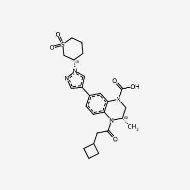 C[C@H]1CN(C(=O)O)c2cc(-c3cnn([C@H]4CCCS(=O)(=O)C4)c3)ccc2N1C(=O)CC1CCC1